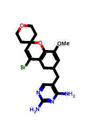 COC1=CC(Cc2cnc(N)nc2N)CC2=C1OC1(C=C2Br)CCOCC1